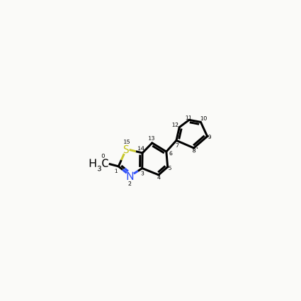 Cc1nc2ccc(-c3[c]cccc3)cc2s1